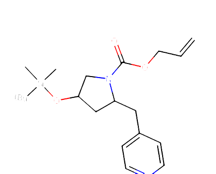 C=CCOC(=O)N1CC(O[Si](C)(C)C(C)(C)C)CC1Cc1ccncc1